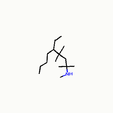 CCCCC(CC)C(C)(C)CC(C)(C)NC